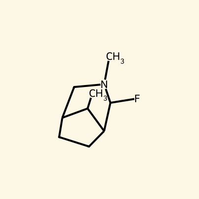 CC1C2CCC1C(F)N(C)C2